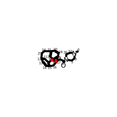 CN1CCN(C(=O)CCCc2cc3ccc2CCc2ccc(cc2)CC3)CC1